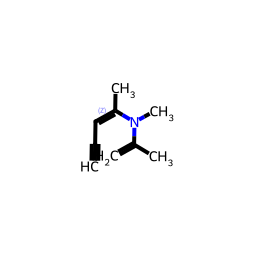 C#C/C=C(/C)N(C)C(=C)C